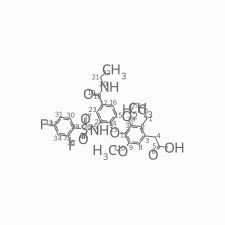 C=Cc1c(CC(=O)O)cc(OC)c(Oc2ccc(C(=O)NCC)cc2NS(=O)(=O)c2ccc(F)cc2F)c1OC